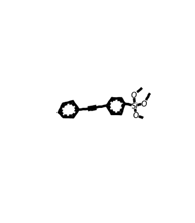 CO[Si](OC)(OC)c1ccc(C#Cc2cc[c]cc2)cc1